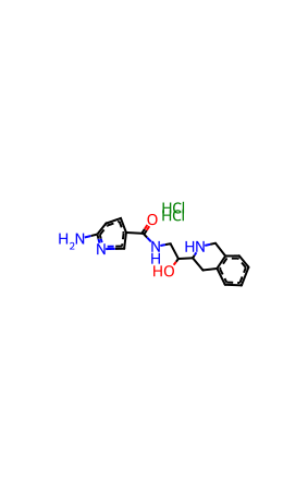 Cl.Cl.Nc1ccc(C(=O)NCC(O)C2Cc3ccccc3CN2)cn1